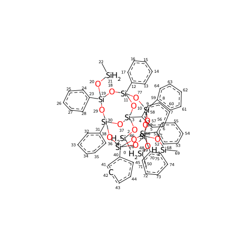 C[SiH2]O[Si]1(c2ccccc2)O[Si]2(c3ccccc3)O[Si](O[SiH2]C)(c3ccccc3)O[Si](c3ccccc3)(O1)O[Si]1(c3ccccc3)O[Si](O[SiH2]C)(c3ccccc3)O[Si](c3ccccc3)(O[Si](O[SiH2]C)(c3ccccc3)O1)O2